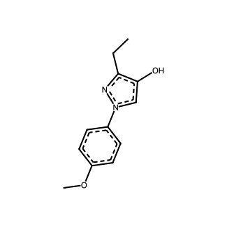 CCc1nn(-c2ccc(OC)cc2)cc1O